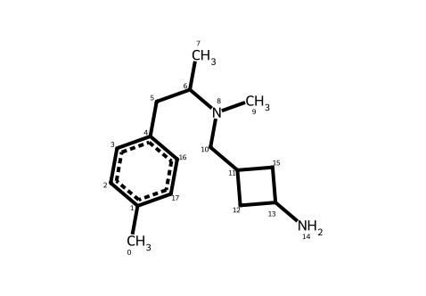 Cc1ccc(CC(C)N(C)CC2CC(N)C2)cc1